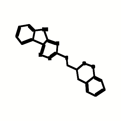 c1ccc2c(c1)CC(CSc1nnc3c(n1)[nH]c1ccccc13)OO2